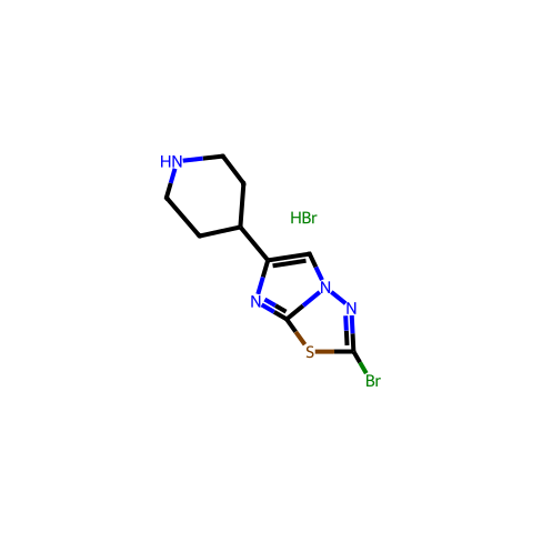 Br.Brc1nn2cc(C3CCNCC3)nc2s1